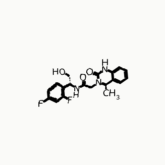 C[C@@H]1c2ccccc2NC(=O)N1CC(=O)N[C@@H](CO)c1ccc(F)cc1F